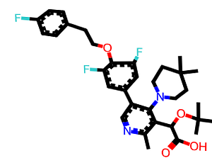 Cc1ncc(-c2cc(F)c(OCCc3ccc(F)cc3)c(F)c2)c(N2CCC(C)(C)CC2)c1C(OC(C)(C)C)C(=O)O